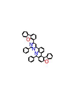 c1ccc(-c2nc(-c3cccc4c3nc(-c3ccccc3)c3ccc5oc6ccccc6c5c34)cc(-c3cccc4c3oc3ccccc34)n2)cc1